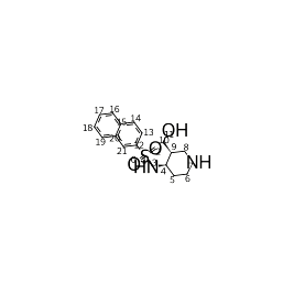 O=S(=O)(N[C@@H]1CCNC[C@@H]1CO)c1ccc2ccccc2c1